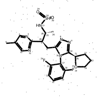 Cc1cnc([C@H](Cc2nnc([C@H]3CCCO3)n2-c2c(F)cccc2F)[C@@H](C)N[SH](=O)=O)nc1